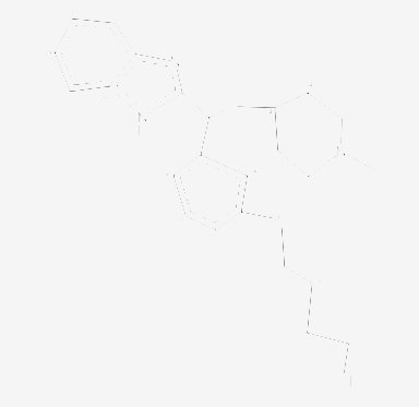 CN1CCC(OC(c2cccc(SCCCCO)c2)c2nc3ccccc3[nH]2)CC1